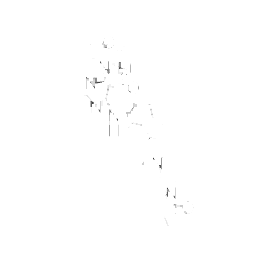 C=CC(=O)N1CC(N2CCC(c3ccc4c(c3)Nc3ncnc(N5CCOCC5)c3C(CC)O4)CC2)C1